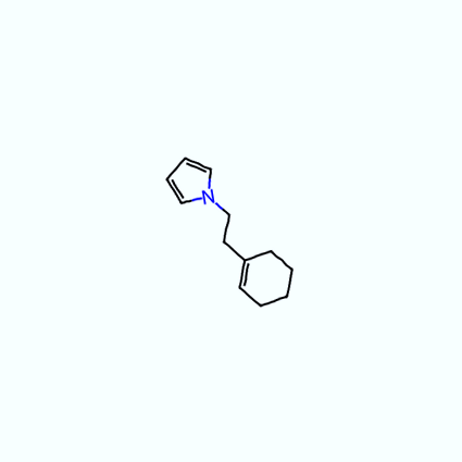 C1=C(CCn2cccc2)CCCC1